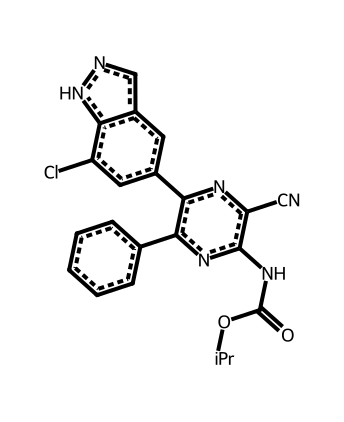 CC(C)OC(=O)Nc1nc(-c2ccccc2)c(-c2cc(Cl)c3[nH]ncc3c2)nc1C#N